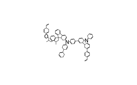 C=Cc1ccc(C2=CC=C3C(C2)C2C=C(c4ccc(N(C5=CCC(C6=CC=CCC6)C=C5)C5=CC=C6c7ccccc7C(CC(C)CCC(C)COC7=CCC(C=C)C=C7)(c7ccccc7)C6C5)cc4)C=CC2N3C2C=CC=CC2)cc1